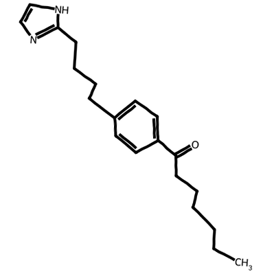 CCCCCCC(=O)c1ccc(CCCCc2ncc[nH]2)cc1